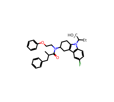 CCC(C(=O)O)n1c2c(c3cc(F)ccc31)CC(N(CCOc1ccccc1)C(=O)C(C)Cc1ccccc1)CC2